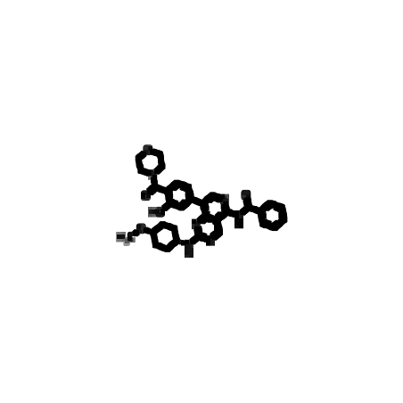 CO[C@H]1CC[C@H](Nc2ncc3c(NC(=O)c4ccccc4)ncc(-c4ccc(C(=O)N5CCOCC5)c(O)c4)c3n2)CC1